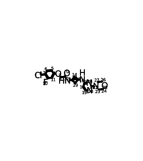 O=C(COc1ccc(Cl)c(F)c1)NC12CC(Nc3ccnc(N4CCOCC4)n3)(C1)C2